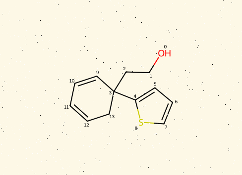 OCCC1(c2cccs2)C=CC=CC1